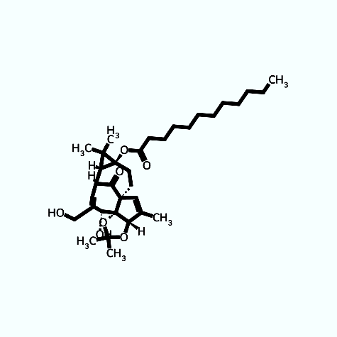 CCCCCCCCCCCC(=O)O[C@@]12CC[C@]34C=C(C)[C@@H]5OC(C)(C)O[C@@]53[C@H](O)C(CO)=C[C@H](C4=O)[C@@H]1C2(C)C